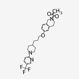 CS(=O)(=O)N1CCc2cc(OCCCC3CCN(c4ccc(C(F)(F)F)cn4)CC3)ccc2C1